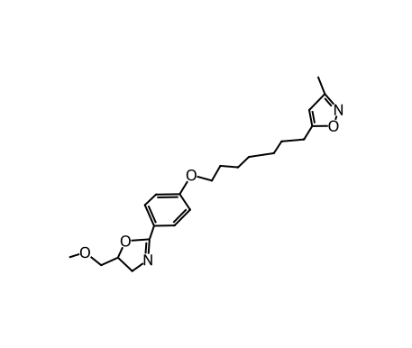 COCC1CN=C(c2ccc(OCCCCCCCc3cc(C)no3)cc2)O1